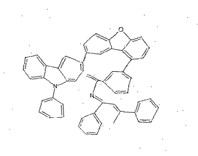 C=C(/N=C(\C=C(/C)c1ccccc1)c1ccccc1)c1cccc(-c2cccc3oc4ccc(-c5ccc6c(c5)c5ccccc5n6-c5ccccc5)cc4c23)c1